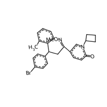 CO/N=C(\CC(c1ccc(Br)cc1)c1ccccc1C)c1ccc(=O)n(C2CCC2)c1